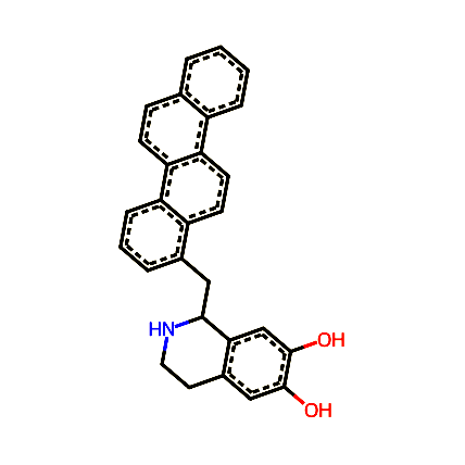 Oc1cc2c(cc1O)C(Cc1cccc3c1ccc1c4ccccc4ccc31)NCC2